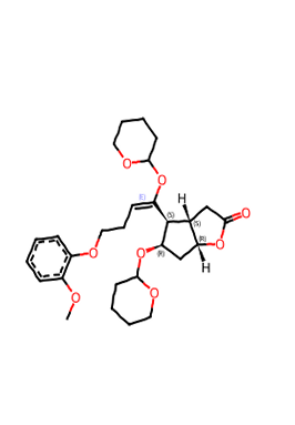 COc1ccccc1OCC/C=C(/OC1CCCCO1)[C@H]1[C@@H]2CC(=O)O[C@@H]2C[C@H]1OC1CCCCO1